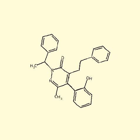 Cc1nn(C(C)c2ccccc2)c(=O)c(CCc2ccccc2)c1-c1ccccc1O